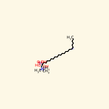 CCCCC/C=C\CCCCCCCCCCCCCCCC(O)(C[N+](C)(C)C)P(=O)(O)O